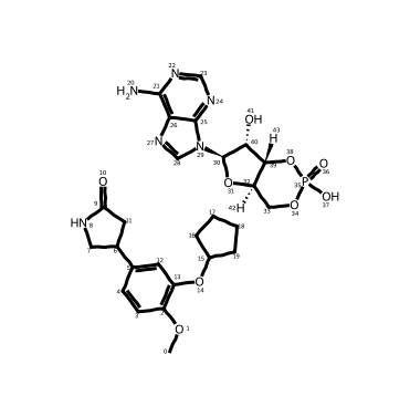 COc1ccc(C2CNC(=O)C2)cc1OC1CCCC1.Nc1ncnc2c1ncn2[C@@H]1O[C@@H]2COP(=O)(O)O[C@H]2[C@H]1O